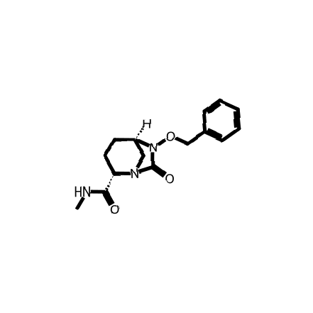 CNC(=O)[C@@H]1CC[C@@H]2CN1C(=O)N2OCc1ccccc1